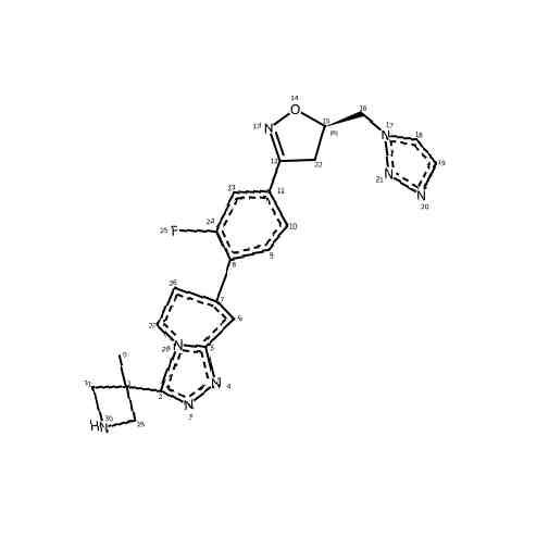 CC1(c2nnc3cc(-c4ccc(C5=NO[C@@H](Cn6ccnn6)C5)cc4F)ccn23)CNC1